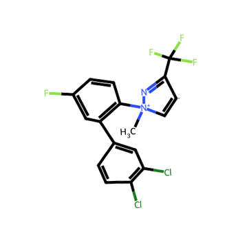 C[N+]1(c2ccc(F)cc2-c2ccc(Cl)c(Cl)c2)C=[C]C(C(F)(F)F)=N1